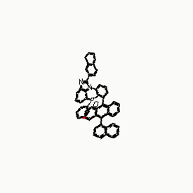 O=P1(c2ccccc2)c2c(-c3c4ccccc4c(-c4cccc5ccccc45)c4ccccc34)cccc2-n2c(-c3ccc4ccccc4c3)nc3cccc1c32